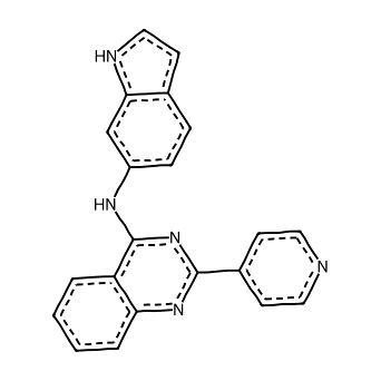 c1ccc2c(Nc3ccc4cc[nH]c4c3)nc(-c3ccncc3)nc2c1